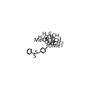 CO[Si]1(C)O[Si](C)(C)O[Si](C)(C)O[Si](CCc2ccc(CSC(=S)c3ccccc3)cc2)(OC)O1